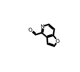 O=Cc1nccc2occc12